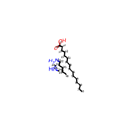 CCCCCCCCCCCCCCCC(=O)O.CCCCCN.CNC